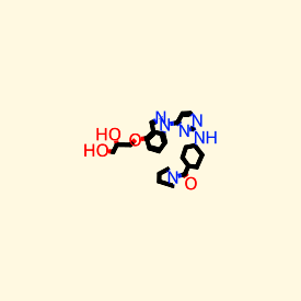 O=C(C1CCC(Nc2nccc(-n3ncc4c(OCC(O)CO)cccc43)n2)CC1)N1CCCC1